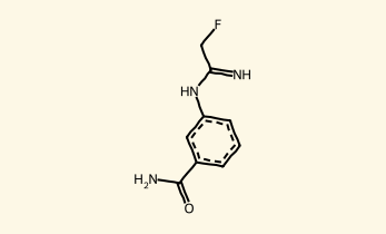 N=C(CF)Nc1cccc(C(N)=O)c1